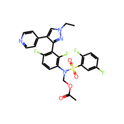 CCn1cc(-c2ccncc2)c(-c2c(F)ccc(N(COC(C)=O)S(=O)(=O)c3cc(F)ccc3F)c2F)n1